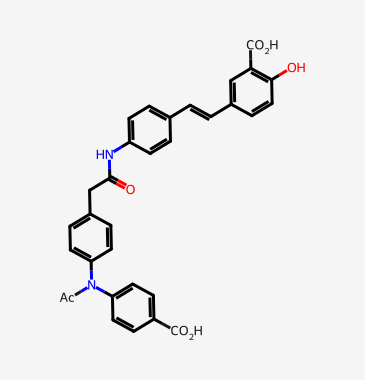 CC(=O)N(c1ccc(CC(=O)Nc2ccc(C=Cc3ccc(O)c(C(=O)O)c3)cc2)cc1)c1ccc(C(=O)O)cc1